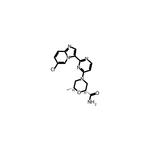 C[C@@H]1CN(c2ccnc(-c3cnc4ccc(Cl)cn34)n2)C[C@H](C(N)=O)O1